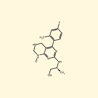 Cc1cc(F)ccc1-c1nc(N[C@@H](C)CO)nc2c1CNC[NH+]2[O-]